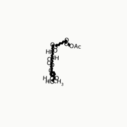 CC(=O)OCCOC(=O)CCCCCOC(=O)CC(=O)NCCNC(=O)CC(=O)OCCOc1ccc(C(=O)C(C)(C)O)cc1